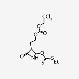 CCSC(=S)O[C@H]1NC(=O)[C@H]1CCOC(=O)OCC(Cl)(Cl)Cl